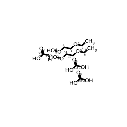 CCOCCOO.CCOCCOO.O=C(O)O.O=C(O)O.O=C(O)O